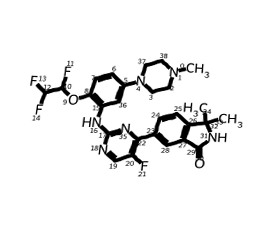 CN1CCN(c2ccc(OC(F)C(F)F)c(Nc3ncc(F)c(-c4ccc5c(c4)C(=O)NC5(C)C)n3)c2)CC1